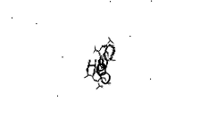 CCOc1c(OBOc2cc(C(C)C)cc(C(C)C)c2OCC)cc(C(C)C)cc1C(C)C